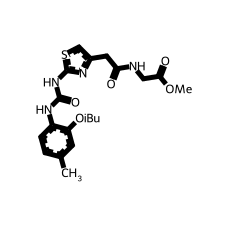 COC(=O)CNC(=O)Cc1csc(NC(=O)Nc2ccc(C)cc2OCC(C)C)n1